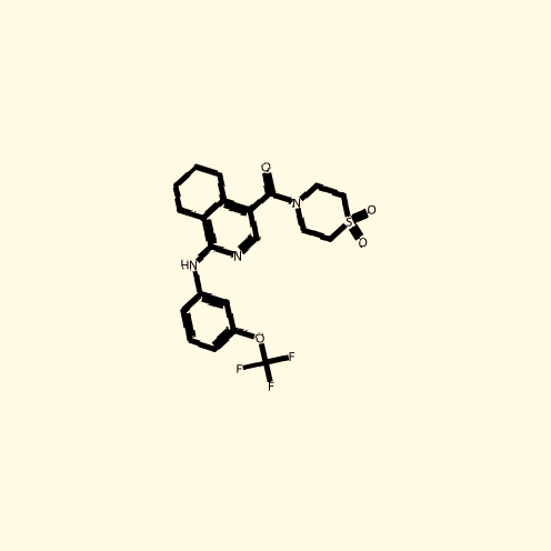 O=C(c1cnc(Nc2cccc(OC(F)(F)F)c2)c2c1CCCC2)N1CCS(=O)(=O)CC1